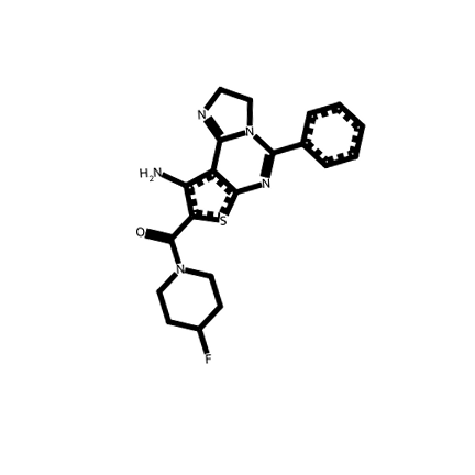 Nc1c(C(=O)N2CCC(F)CC2)sc2c1C1=NCCN1C(c1ccccc1)=N2